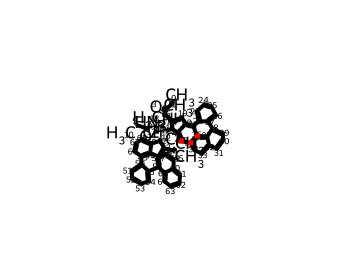 CCC(=O)N[B](NC(=O)CC)[Zr]([Cl])([Cl])([CH]1C(C(C)C)=Cc2c(-c3ccccc3-c3cccc4ccccc34)cccc21)[CH]1C(C(C)C)=Cc2c(-c3ccccc3-c3cccc4ccccc34)cccc21